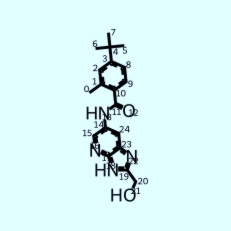 Cc1cc(C(C)(C)C)ccc1C(=O)Nc1cnc2[nH]c(CO)nc2c1